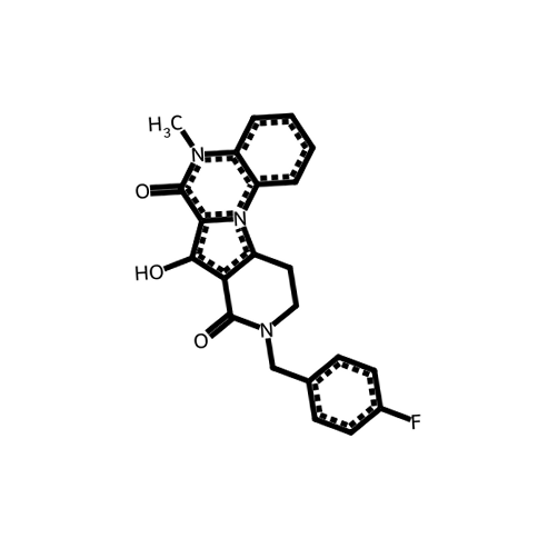 Cn1c(=O)c2c(O)c3c(n2c2ccccc21)CCN(Cc1ccc(F)cc1)C3=O